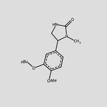 CCCCOc1cc(C2CNC(=O)N2C)ccc1OC